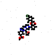 COC(=O)c1ccc2nc3n(c2c1)C(C1CCO1)C1CN(c2cccc4c2OC(c2ccc(Cl)cc2F)CO4)CCN1C3